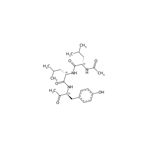 CC(=O)N[C@@H](CC(C)C)C(=O)N[C@@H](CC(C)C)C(=O)N[C@@H](Cc1ccc(O)cc1)C(C)=O